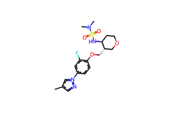 Cc1cnn(-c2ccc(OC[C@H]3COCC[C@@H]3NS(=O)(=O)N(C)C)c(F)c2)c1